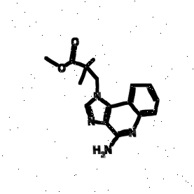 COC(=O)C(C)(C)Cn1cnc2c(N)nc3ccccc3c21